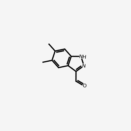 Cc1cc2[nH]nc(C=O)c2cc1C